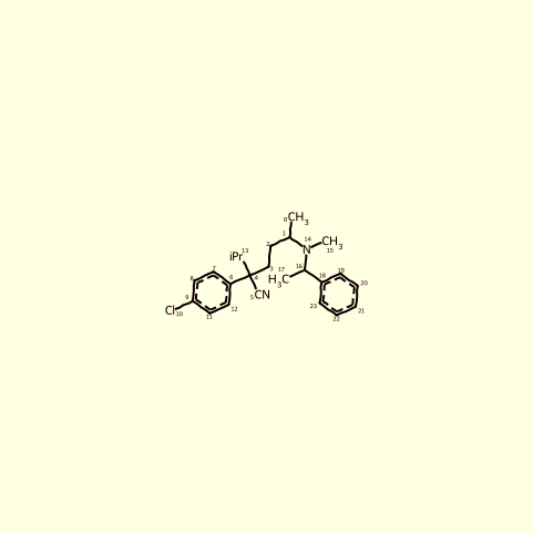 CC(CCC(C#N)(c1ccc(Cl)cc1)C(C)C)N(C)C(C)c1ccccc1